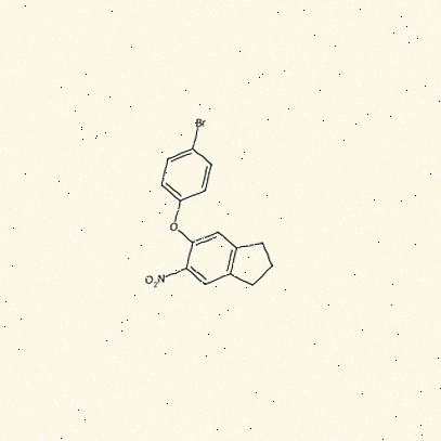 O=[N+]([O-])c1cc2c(cc1Oc1ccc(Br)cc1)CCC2